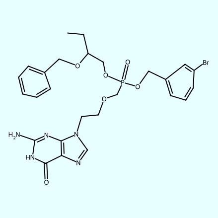 CCC(COP(=O)(COCCn1cnc2c(=O)[nH]c(N)nc21)OCc1cccc(Br)c1)OCc1ccccc1